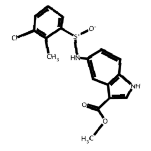 COC(=O)c1c[nH]c2ccc(N[S+]([O-])c3cccc(Cl)c3C)cc12